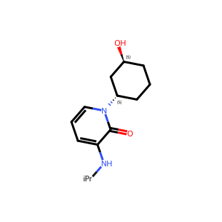 CC(C)Nc1cccn([C@H]2CCC[C@H](O)C2)c1=O